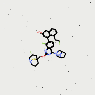 Oc1cc(-c2c(F)cc3c(N4CC5CCC(C4)N5)nc(OCC45CCCN(C[C@H](F)C4)S5)nc3c2F)c2c(CCF)cccc2c1